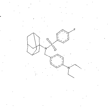 CCN(CC)c1ccc(CN(C23CC4CC(CC(C4)C2)C3)S(=O)(=O)c2ccc(F)cc2)cc1